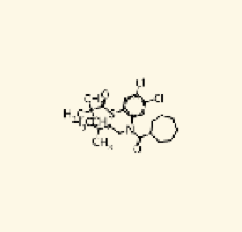 CC(C)CCN(C(=O)C1CCCCCC1)c1cc(Cl)c(Cl)cc1SC(=O)C(C)(C)C